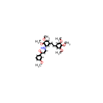 COc1cccc(C(=O)/C=C\Nc2cc(CCc3cc(OC)c(OC)c(OC)c3)cc(OC)c2OC)c1